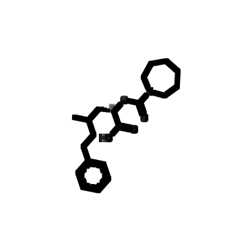 CC(CCc1ccccc1)C[C@H](OC(=O)N1CCCCCC1)C(=O)O